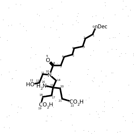 CCCCCCCCCCCCCCCCCC(=O)N(CCO)CC(N)(CCC(=O)O)CCC(=O)O